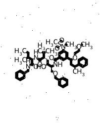 CCC(C)[C@H](NC(=O)[C@@H](C[C@H](O)[C@H](COCc1ccccc1)NC(=O)c1cc(C(C[C@H](C)c2ccccc2)OCCOC)cc(N(C)S(C)(=O)=O)c1)C(C)C)C(=O)NCc1ccccc1